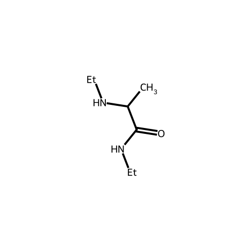 CCNC(=O)C(C)NCC